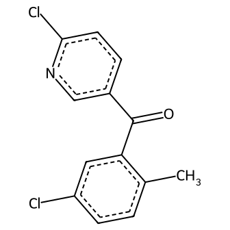 Cc1ccc(Cl)cc1C(=O)c1ccc(Cl)nc1